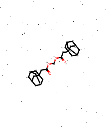 O=C(CC12CC3CC(CC(C3)C1)C2)OCOC(=O)CC12CC3CC(CC(C3)C1)C2